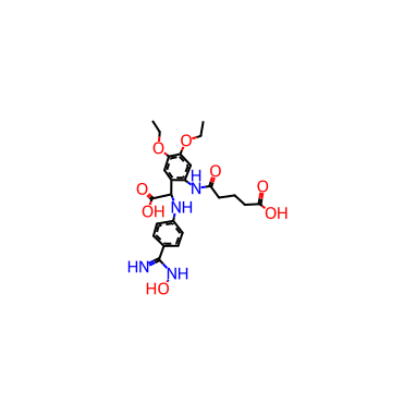 CCOc1cc(NC(=O)CCCC(=O)O)c(C(Nc2ccc(C(=N)NO)cc2)C(=O)O)cc1OCC